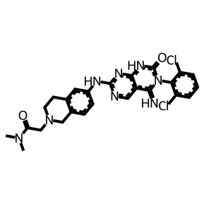 CN(C)C(=O)CN1CCc2cc(Nc3ncc4c(=N)n(-c5c(Cl)cccc5Cl)c(=O)[nH]c4n3)ccc2C1